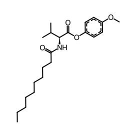 CCCCCCCCCC(=O)N[C@H](C(=O)Oc1ccc(OC)cc1)C(C)C